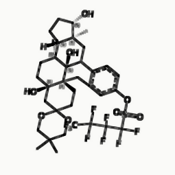 CC1(C)COC2(CC[C@@]34Cc5cc(OS(=O)(=O)C(F)(F)C(F)(F)C(F)(F)C(F)(F)F)ccc5C5C[C@]6(C)[C@@H](O)CC[C@H]6[C@H](CC[C@@]3(O)C2)[C@]54O)OC1